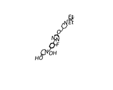 CCC(F)(CC)CN1CCC(COc2cnc(-c3ccc(C(O)N4CCC[C@@H](O)C4)cc3F)nc2)CC1